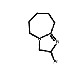 CCC1CN2CCCCCC2=N1